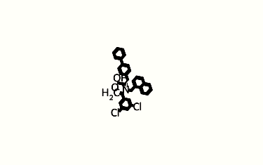 C=C(c1cc(Cl)cc(Cl)c1)N(Cc1cccc2ccccc12)[C@H](Cc1ccc(-c2ccccc2)cc1)C(=O)O